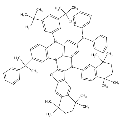 CC(C)(C)c1cc(N2c3ccc(C(C)(C)c4ccccc4)cc3B3c4oc5cc6c(cc5c4N(c4ccc5c(c4)C(C)(C)CCC5(C)C)c4cc(N(c5ccccc5)c5ccccc5)cc2c43)C(C)(C)CCC6(C)C)cc(C(C)(C)C)c1